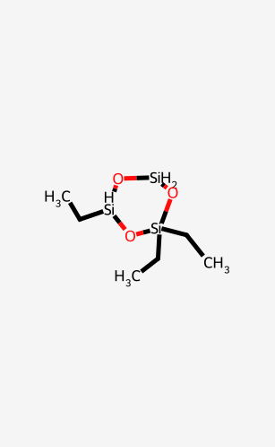 CC[SiH]1O[SiH2]O[Si](CC)(CC)O1